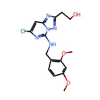 COc1ccc(CNc2nc(Cl)cc3nc(CCO)nn23)c(OC)c1